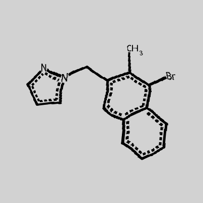 Cc1c(Cn2cccn2)cc2ccccc2c1Br